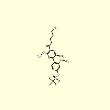 CCCCCNc1nc(C)c(-c2ccc(OS(=O)(=O)C(F)(F)F)cc2OC)nc1OC